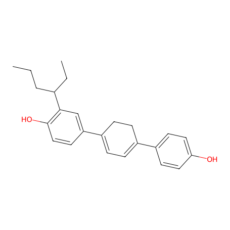 CCCC(CC)c1cc(C2=CC=C(c3ccc(O)cc3)CC2)ccc1O